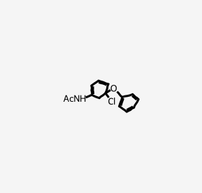 CC(=O)NC1=CC=CC(Cl)(Oc2ccccc2)C1